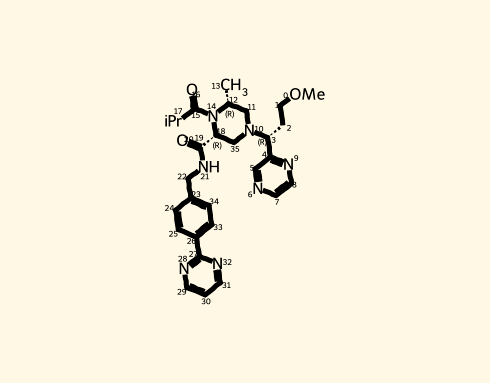 COCC[C@H](c1cnccn1)N1C[C@@H](C)N(C(=O)C(C)C)[C@@H](C(=O)NCc2ccc(-c3ncccn3)cc2)C1